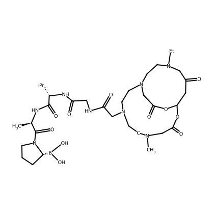 CCN1CCN2CCN(CC(=O)NCC(=O)N[C@H](C(=O)N[C@H](C)C(=O)N3CCC[C@H]3B(O)O)C(C)C)CCN(C)CC(=O)OC(CC(=O)C1)OC(=O)C2